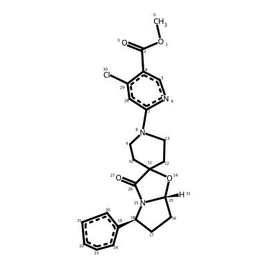 COC(=O)c1cnc(N2CCC3(CC2)O[C@@H]2CC[C@@H](c4ccccc4)N2C3=O)cc1Cl